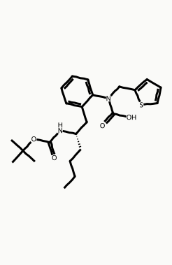 CCCC[C@@H](Cc1ccccc1N(Cc1cccs1)C(=O)O)NC(=O)OC(C)(C)C